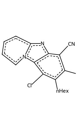 CCCCCCc1c(C)c(C#N)c2nc3ccccn3c2c1Cl